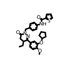 CCC1CC(=O)N(Cc2ccc(NC(=O)c3cccs3)cc2)N=C1c1ccc(OC)c(OC2CCCC2)c1